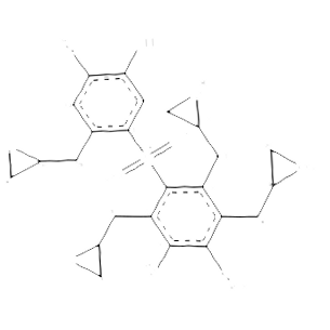 Cc1cc(S(=O)(=O)c2c(CC3CO3)c(C)c(N)c(CC3CO3)c2CC2CO2)c(CC2CO2)cc1N